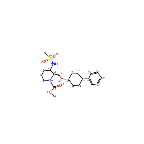 COC(=O)N1CCCC(NS(C)(=O)=O)[C@H]1CO[C@H]1CC[C@@H](c2ccccc2)CC1